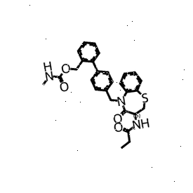 CCC(=O)N[C@@H]1CSc2ccccc2N(Cc2ccc(-c3ccccc3COC(=O)NC)cc2)C1=O